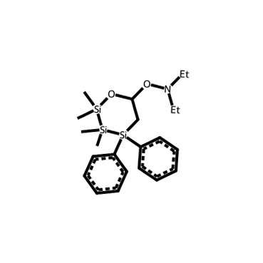 CCN(CC)OC1C[Si](c2ccccc2)(c2ccccc2)[Si](C)(C)[Si](C)(C)O1